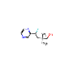 CC(CO)(CC(F)c1cnccn1)C(=O)O